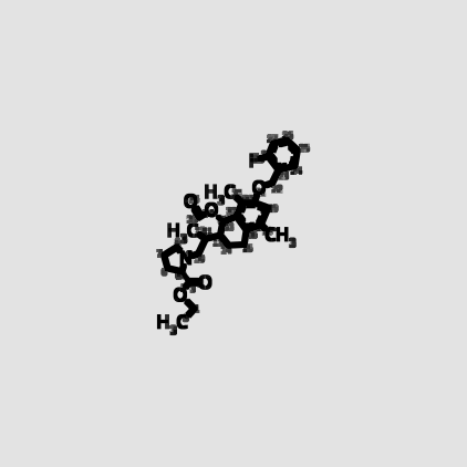 CCOC(=O)[C@H]1CCCN1CC(C)C1CCc2c(C)cc(OCc3ccccc3F)c(C)c2[C@@H]1OC=O